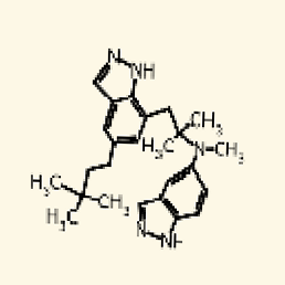 CN(c1ccc2[nH]ncc2c1)C(C)(C)Cc1cc(CCC(C)(C)C)cc2cn[nH]c12